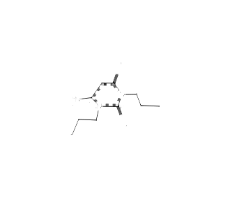 CCCn1c(N)cc(=O)n(CCC)c1=S